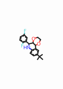 CC(C)(C)c1ccc2c(c1)C1OCCOC1C(c1cc(F)ccc1F)N2